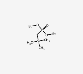 CCOP(=O)(C[Si](C)(C)C)OCC